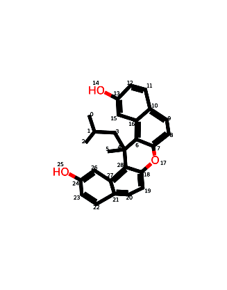 CC(C)CC1(C)c2c(ccc3ccc(O)cc23)Oc2ccc3ccc(O)cc3c21